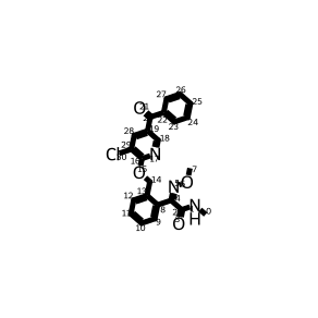 CNC(=O)C(=NOC)c1ccccc1COc1ncc(C(=O)c2ccccc2)cc1Cl